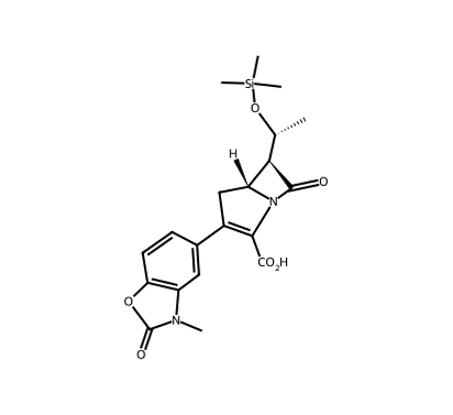 C[C@@H](O[Si](C)(C)C)[C@H]1C(=O)N2C(C(=O)O)=C(c3ccc4oc(=O)n(C)c4c3)C[C@H]12